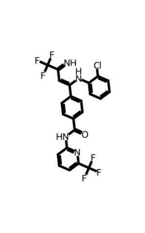 N=C(/C=C(\Nc1ccccc1Cl)c1ccc(C(=O)Nc2cccc(C(F)(F)F)n2)cc1)C(F)(F)F